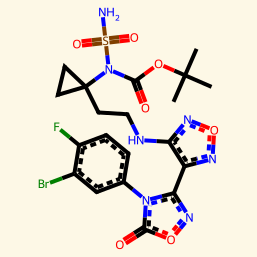 CC(C)(C)OC(=O)N(C1(CCNc2nonc2-c2noc(=O)n2-c2ccc(F)c(Br)c2)CC1)S(N)(=O)=O